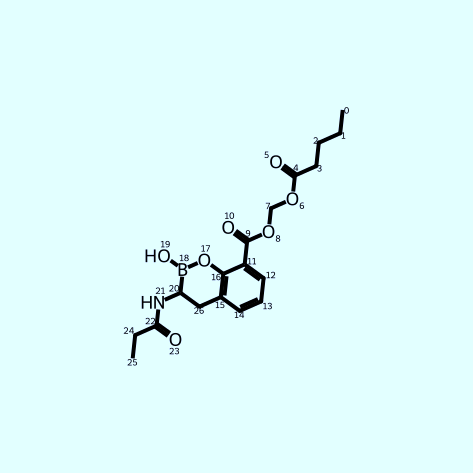 CCCCC(=O)OCOC(=O)c1cccc2c1OB(O)C(NC(=O)CC)C2